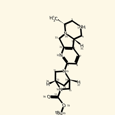 C[C@@H]1CNC[C@@H]2c3ccc(N4C[C@@H]5C[C@H]4CN5C(=O)OC(C)(C)C)nc3CN12